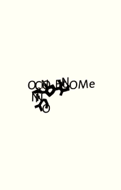 CCOC(=O)c1cnn(C2CCOCC2C)c1-c1ccc(-c2c(C)cc(OC)nc2C)cc1[N+](=O)[O-]